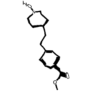 COC(=O)c1ccc(CCC2CCN(O)CC2)cc1